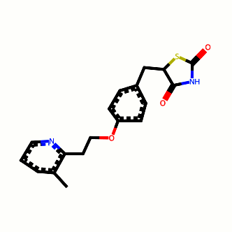 Cc1cccnc1CCOc1ccc(CC2SC(=O)NC2=O)cc1